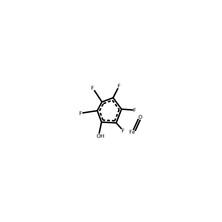 Oc1c(F)c(F)c(F)c(F)c1F.[O]=[Fe]